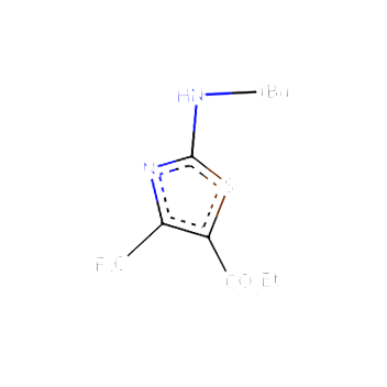 CCOC(=O)c1sc(NC(C)(C)C)nc1C(F)(F)F